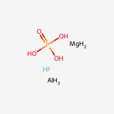 F.O=P(O)(O)O.[AlH3].[MgH2]